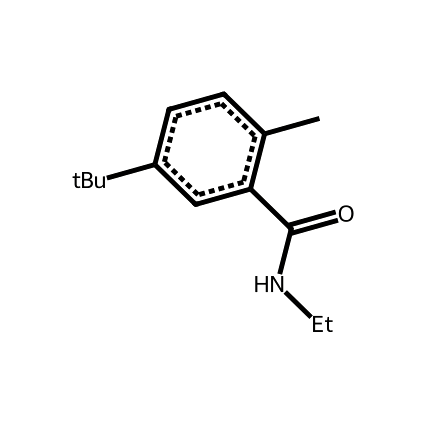 CCNC(=O)c1cc(C(C)(C)C)ccc1C